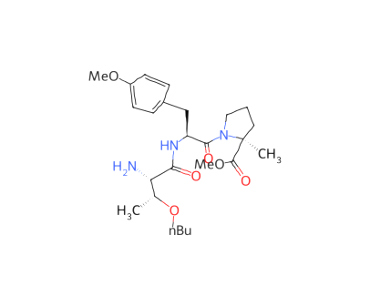 CCCCO[C@H](C)[C@H](N)C(=O)N[C@@H](Cc1ccc(OC)cc1)C(=O)N1CCC[C@@]1(C)C(=O)OC